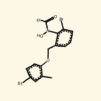 CCC(=O)N(O)c1c(Br)cccc1COc1ccc(CC)cc1C